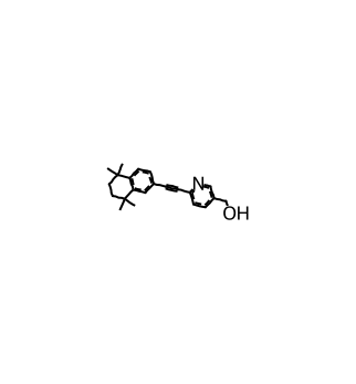 CC1(C)CCC(C)(C)c2cc(C#Cc3ccc(CO)cn3)ccc21